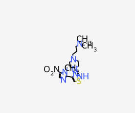 CN(C)CCCN1CCN(N2NSC=C2c2ncc([N+](=O)[O-])n2C)CC1